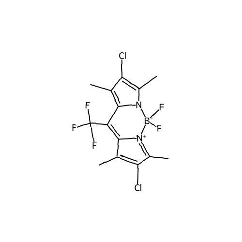 CC1=C(Cl)C(C)=[N+]2C1=C(C(F)(F)F)c1c(C)c(Cl)c(C)n1[B-]2(F)F